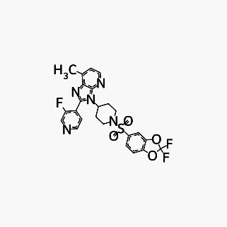 Cc1ccnc2c1nc(-c1ccncc1F)n2C1CCN(S(=O)(=O)c2ccc3c(c2)OC(F)(F)O3)CC1